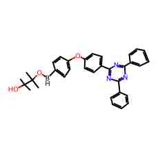 CC(C)(O)C(C)(C)OBc1ccc(Oc2ccc(-c3nc(-c4ccccc4)nc(-c4ccccc4)n3)cc2)cc1